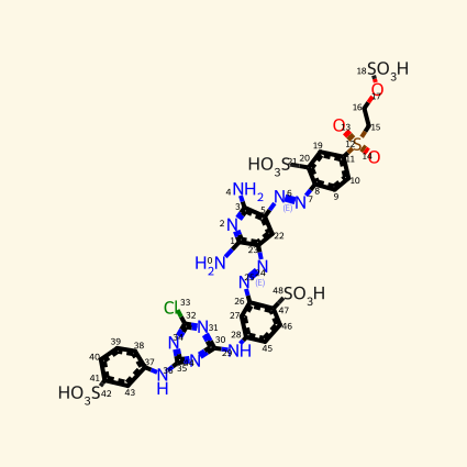 Nc1nc(N)c(/N=N/c2ccc(S(=O)(=O)CCOS(=O)(=O)O)cc2S(=O)(=O)O)cc1/N=N/c1cc(Nc2nc(Cl)nc(Nc3cccc(S(=O)(=O)O)c3)n2)ccc1S(=O)(=O)O